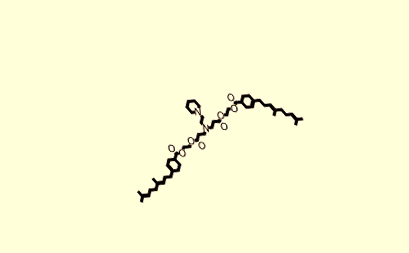 CC(C)=CCC/C(C)=C/CCC1=CCC(C(=O)OCCOC(=O)CCN(CCC(=O)OCCOC(=O)C2CC=C(CC/C=C(\C)CCC=C(C)C)CC2)CCN2CCCCC2)CC1